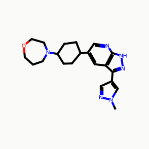 Cn1cc(-c2n[nH]c3ncc(C4CCC(N5CCCOCC5)CC4)cc23)cn1